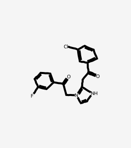 O=C(Cc1[nH]cc[n+]1CC(=O)c1cccc(F)c1)c1cccc(Cl)c1